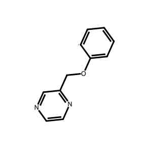 [c]1ccccc1OCc1cnccn1